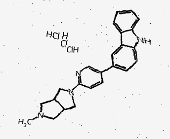 CN1CC2CN(c3ccc(-c4ccc5[nH]c6ccccc6c5c4)cn3)CC2C1.Cl.Cl.Cl